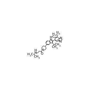 Cc1c(-c2[nH]c3ccc(C4CCN(C(=O)CCNC(C)C)CC4)cc3c2C(C)C)cn2ncnc2c1C